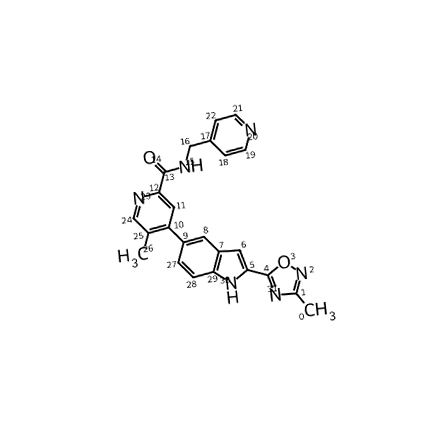 Cc1noc(-c2cc3cc(-c4cc(C(=O)NCc5ccncc5)ncc4C)ccc3[nH]2)n1